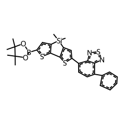 CC1(C)OB(c2cc3c(s2)-c2sc(-c4ccc(-c5ccccc5)c5nsnc45)cc2[Si]3(C)C)OC1(C)C